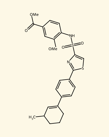 COC(=O)c1ccc(NS(=O)(=O)c2csc(-c3ccc(C4=CC(C)CCC4)cc3)n2)c(OC)c1